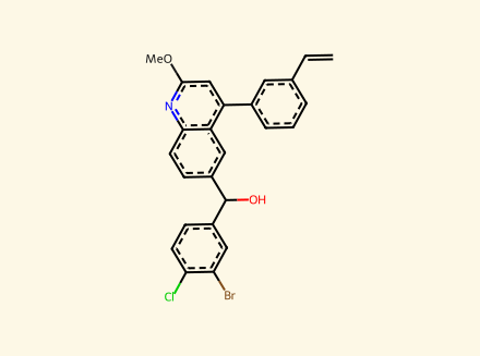 C=Cc1cccc(-c2cc(OC)nc3ccc(C(O)c4ccc(Cl)c(Br)c4)cc23)c1